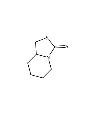 S=C1SCC2CCCCN12